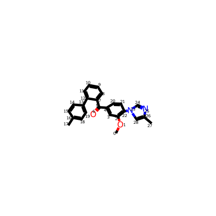 COc1cc(C(=O)c2ccccc2-c2ccc(C)cc2)ccc1-n1cnc(C)c1